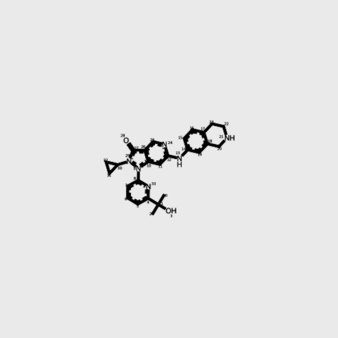 CC(C)(O)c1cccc(-n2c3cc(Nc4ccc5c(c4)CNCC5)ncc3c(=O)n2C2CC2)n1